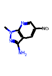 Cn1nc(N)c2cc(N=O)cnc21